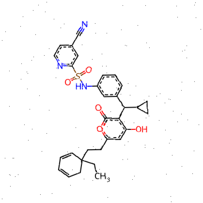 CCC1(CCc2cc(O)c(C(c3cccc(NS(=O)(=O)c4cc(C#N)ccn4)c3)C3CC3)c(=O)o2)C=CC=CC1